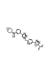 FC(F)c1nnc(-c2ccc(Cn3cc(-c4cccc(NC5CCOCC5)c4)nn3)nc2)o1